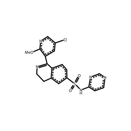 COc1ncc(Cl)cc1C1=NCCc2cc(S(=O)(=O)Nc3ccncn3)ccc21